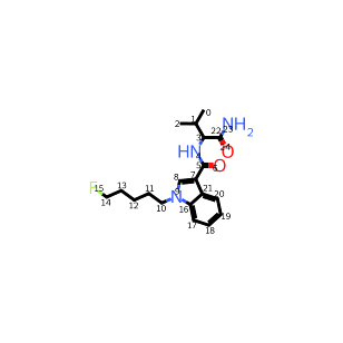 CC(C)C(NC(=O)c1cn(CCCCCF)c2ccccc12)C(N)=O